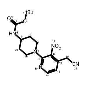 CC(C)(C)OC(=O)NC1CCN(c2nccc(CC#N)c2[N+](=O)[O-])CC1